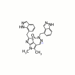 Cc1c(/C=N\N(C=O)Cc2cccc3[nH]ncc23)c2sc(Cc3cccc4cn[nH]c34)nc2n1C